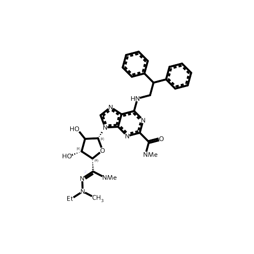 CCN(C)/N=C(\NC)[C@H]1O[C@@H](n2cnc3c(NCC(c4ccccc4)c4ccccc4)nc(C(=O)NC)nc32)C(O)[C@H]1O